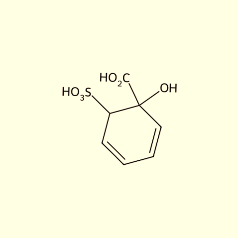 O=C(O)C1(O)C=CC=CC1S(=O)(=O)O